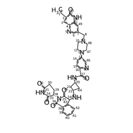 CCc1cc2ncc(CN3CCN(c4ccc(C(=O)NC5CC(NC6C(=O)N([C@H]7CCC(=O)NC7=O)C(=O)c7ccccc76)C5)nc4)CC3)cc2[nH]c1=O